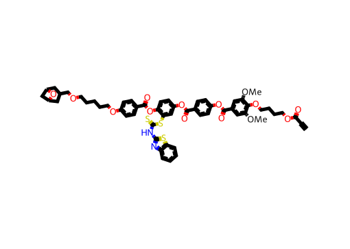 C#CC(=O)OCCCCOc1c(OC)cc(C(=O)Oc2ccc(C(=O)Oc3ccc(OC(=O)c4ccc(OCCCCCOCC5CC6CC(C5)O6)cc4)c(SC(=S)Nc4nc5ccccc5s4)c3)cc2)cc1OC